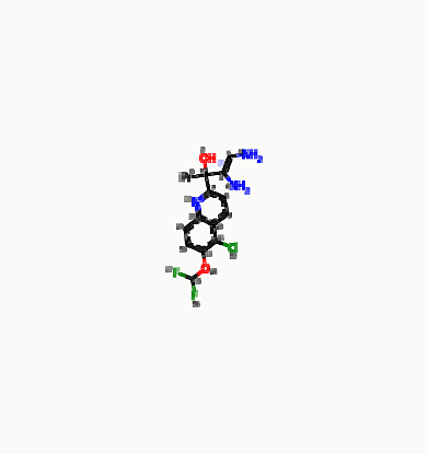 CC(C)C(O)(/C(N)=C/N)c1ccc2c(Cl)c(OC(F)F)ccc2n1